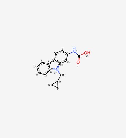 O=C(O)Nc1ccc2c3ccccc3n(CC3CC3)c2c1